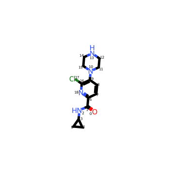 O=C(NC1CC1)c1ccc(N2CCNCC2)c(Cl)n1